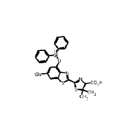 CC(C)(C)c1cc(O[SiH](c2ccccc2)c2ccccc2)c2nc(C3=NC(C(=O)O)C(C)(C)S3)sc2c1